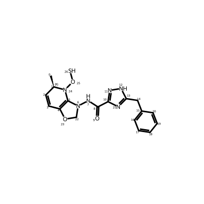 C[C@@H]1C=CC2=C(N(NC(=O)c3n[nH]c(Cc4ccccc4)n3)CO2)N1OS